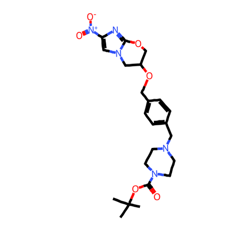 CC(C)(C)OC(=O)N1CCN(Cc2ccc(COC3COc4nc([N+](=O)[O-])cn4C3)cc2)CC1